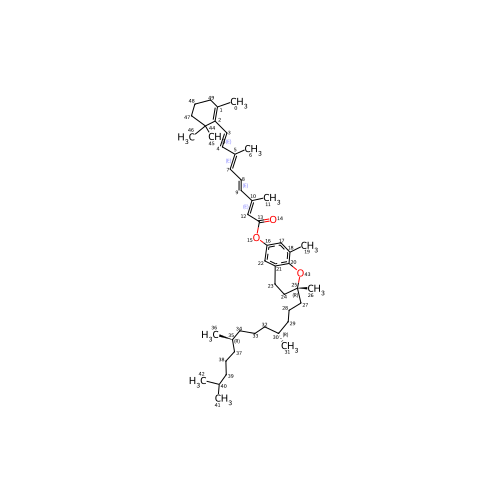 CC1=C(/C=C/C(C)=C/C=C/C(C)=C/C(=O)Oc2cc(C)c3c(c2)CC[C@@](C)(CCC[C@H](C)CCC[C@H](C)CCCC(C)C)O3)C(C)(C)CCC1